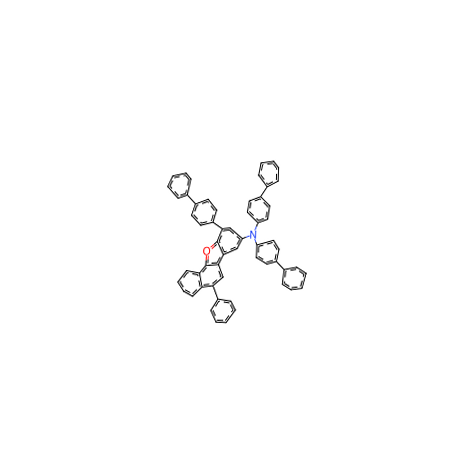 c1ccc(-c2ccc(-c3cc(N(c4ccc(-c5ccccc5)cc4)c4ccc(-c5ccccc5)cc4)cc4c3oc3c5ccccc5c(-c5ccccc5)cc43)cc2)cc1